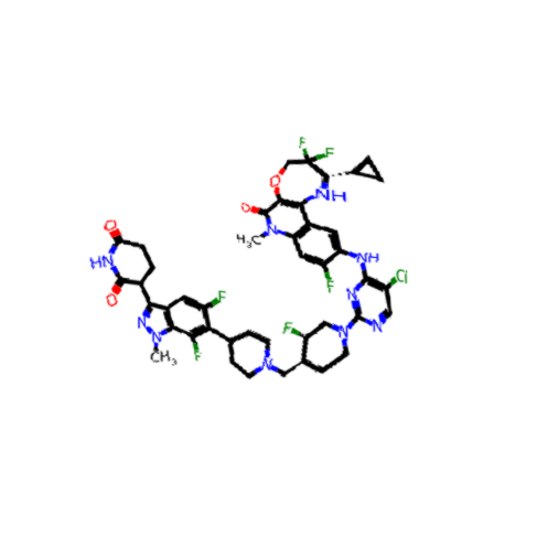 Cn1nc(C2CCC(=O)NC2=O)c2cc(F)c(C3CCN(C[C@@H]4CCN(c5ncc(Cl)c(Nc6cc7c8c(c(=O)n(C)c7cc6F)OCC(F)(F)[C@H](C6CC6)N8)n5)C[C@@H]4F)CC3)c(F)c21